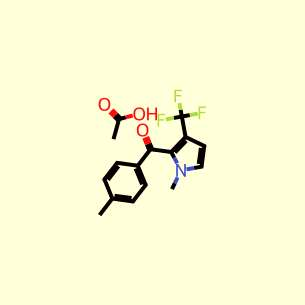 CC(=O)O.Cc1ccc(C(=O)c2c(C(F)(F)F)ccn2C)cc1